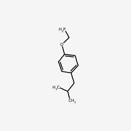 CC(C)Cc1ccc(OCP)cc1